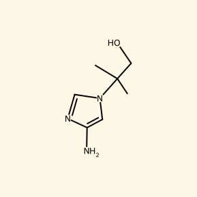 CC(C)(CO)n1cnc(N)c1